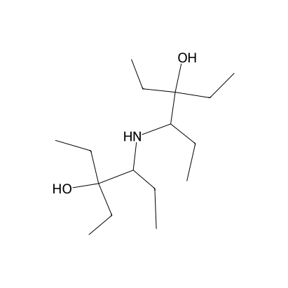 CCC(NC(CC)C(O)(CC)CC)C(O)(CC)CC